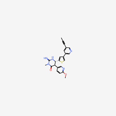 CC#Cc1cncc(-c2csc([C@H]3NC(=N)N(C)C(=O)C3c3ccc(OC)nc3)c2)c1